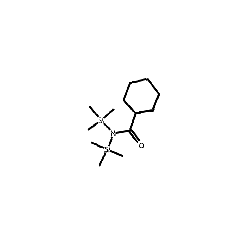 C[Si](C)(C)N(C(=O)C1CCCCC1)[Si](C)(C)C